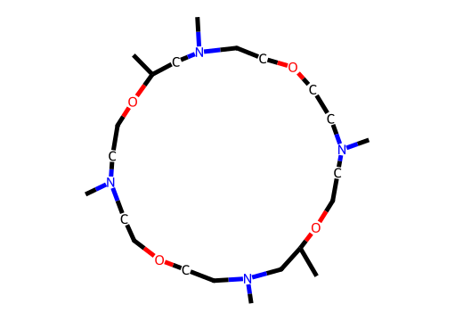 CC1CN(C)CCOCCN(C)CCOC(C)CN(C)CCOCCN(C)CCO1